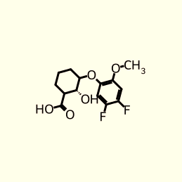 COc1cc(F)c(F)cc1OC1CCCC(C(=O)O)[C@H]1O